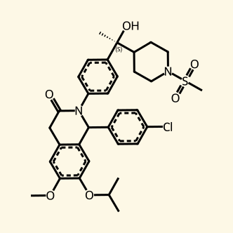 COc1cc2c(cc1OC(C)C)C(c1ccc(Cl)cc1)N(c1ccc([C@@](C)(O)C3CCN(S(C)(=O)=O)CC3)cc1)C(=O)C2